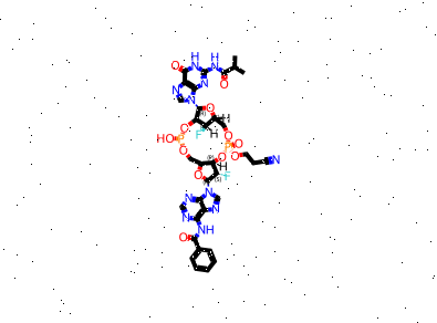 CC(C)C(=O)Nc1nc2c(ncn2[C@@H]2O[C@@H]3COP(=O)(OCCC#N)O[C@@H]4C(COP(O)OC2[C@@H]3F)O[C@@H](n2cnc3c(NC(=O)c5ccccc5)ncnc32)[C@H]4F)c(=O)[nH]1